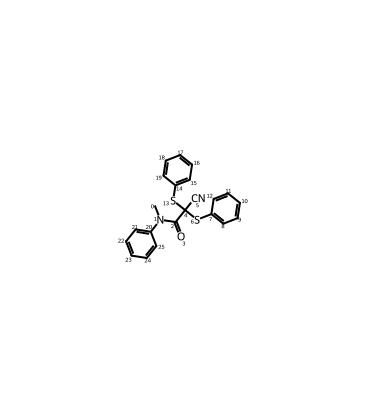 CN(C(=O)C(C#N)(Sc1ccccc1)Sc1ccccc1)c1ccccc1